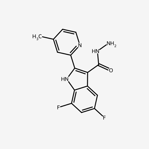 Cc1ccnc(-c2[nH]c3c(F)cc(F)cc3c2C(=O)NN)c1